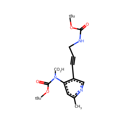 Cc1cc(N(C(=O)O)C(=O)OC(C)(C)C)c(C#CCNC(=O)OC(C)(C)C)cn1